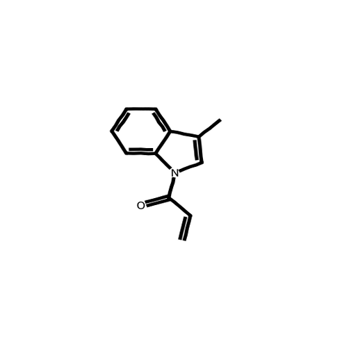 C=CC(=O)n1cc(C)c2ccccc21